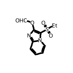 CCS(=O)(=O)c1c(OC=O)nc2ccccn12